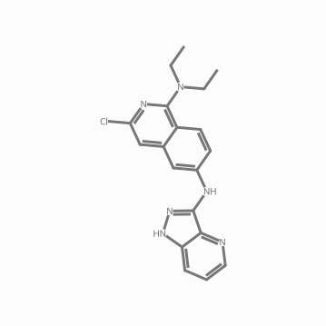 CCN(CC)c1nc(Cl)cc2cc(Nc3n[nH]c4cccnc34)ccc12